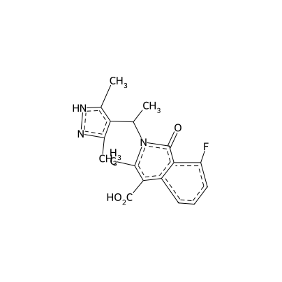 Cc1n[nH]c(C)c1C(C)n1c(C)c(C(=O)O)c2cccc(F)c2c1=O